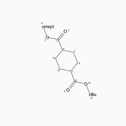 CCCCCCCOC(=O)C1CCC(C(=O)OCCCC)CC1